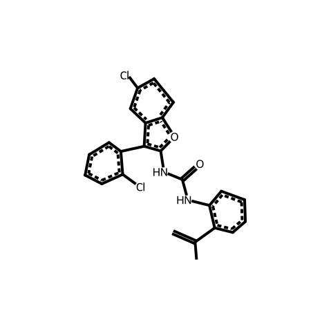 C=C(C)c1ccccc1NC(=O)Nc1oc2ccc(Cl)cc2c1-c1ccccc1Cl